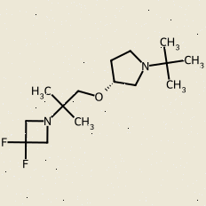 CC(C)(C)N1CC[C@@H](OCC(C)(C)N2CC(F)(F)C2)C1